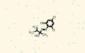 CC(C)C(C)(O)/N=N/c1c(Cl)cc(Cl)cc1Cl